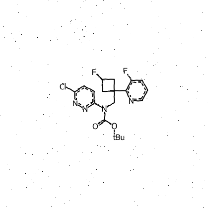 CC(C)(C)OC(=O)N(CC1(c2ncccc2F)CC(F)C1)c1ccc(Cl)nn1